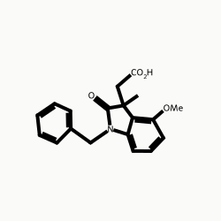 COc1cccc2c1C(C)(CC(=O)O)C(=O)N2Cc1ccccc1